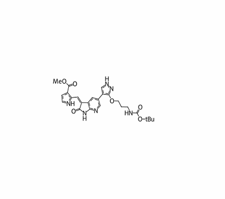 COC(=O)c1cc[nH]c1/C=C1\C(=O)Nc2ncc(-c3c[nH]nc3OCCCNC(=O)OC(C)(C)C)cc21